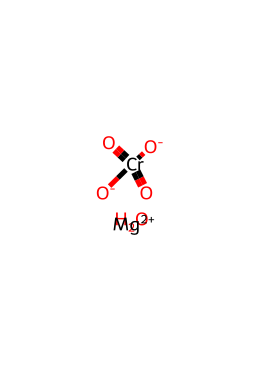 O.[Mg+2].[O]=[Cr](=[O])([O-])[O-]